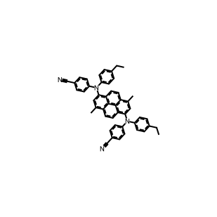 CCc1ccc(N(c2ccc(C#N)cc2)c2cc(C)c3ccc4c(N(c5ccc(C#N)cc5)c5ccc(CC)cc5)cc(C)c5ccc2c3c54)cc1